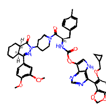 COc1ccc(C2=NN(C3CCN(C(=O)[C@@H](Cc4ccc(C)cc4)NC(=O)Oc4c[nH]c5c(-c6c(OCC7CC7)ccc7c6OCO7)ncnc45)CC3)C(=O)[C@@H]3CCCC[C@H]23)cc1OC